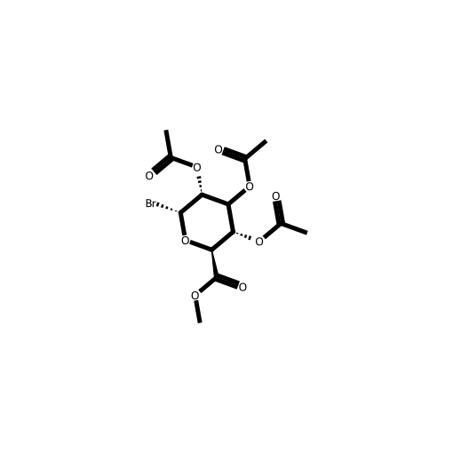 COC(=O)[C@H]1O[C@H](Br)[C@H](OC(C)=O)C(OC(C)=O)[C@@H]1OC(C)=O